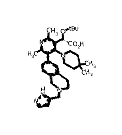 Cc1nc(C)c([C@H](OC(C)(C)C)C(=O)O)c(N2CCC(C)(C)CC2)c1-c1ccc2c(c1)CCN(Cc1ccn[nH]1)C2